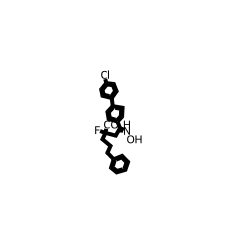 O=C(O)C(F)(CCCc1ccccc1)C/C(=N\O)c1ccc(-c2ccc(Cl)cc2)cc1